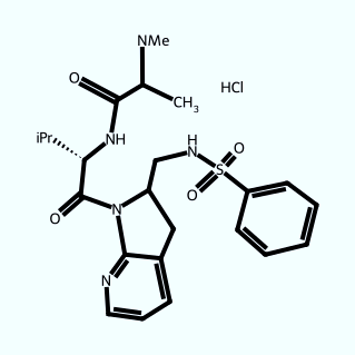 CNC(C)C(=O)N[C@H](C(=O)N1c2ncccc2CC1CNS(=O)(=O)c1ccccc1)C(C)C.Cl